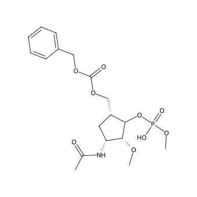 CO[C@H]1C(OP(=O)(O)OC)[C@@H](COC(=O)OCc2ccccc2)C[C@H]1NC(C)=O